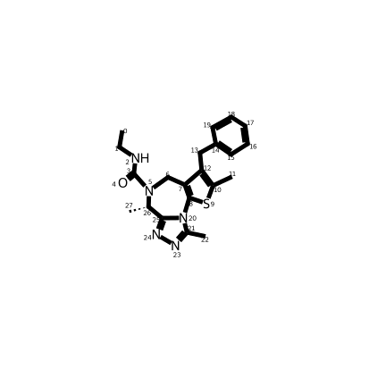 CCNC(=O)N1Cc2c(sc(C)c2Cc2ccccc2)-n2c(C)nnc2[C@@H]1C